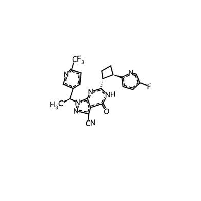 C[C@@H](c1ccc(C(F)(F)F)nc1)n1nc(C#N)c2c(=O)[nH]c([C@@H]3CC[C@H]3c3ccc(F)cn3)nc21